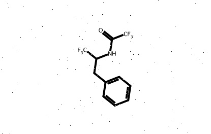 O=C(NC(Cc1ccccc1)C(F)(F)F)C(F)(F)F